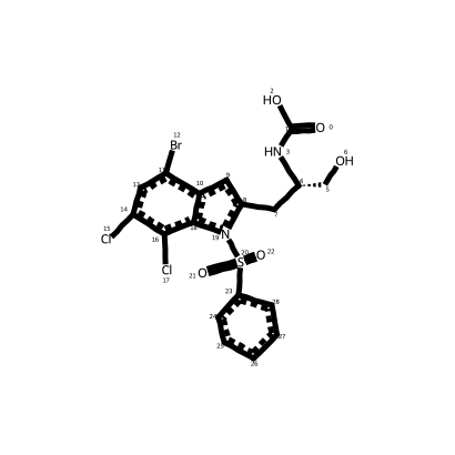 O=C(O)N[C@H](CO)Cc1cc2c(Br)cc(Cl)c(Cl)c2n1S(=O)(=O)c1ccccc1